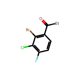 CCC(=O)c1ccc(F)c(Cl)c1Br